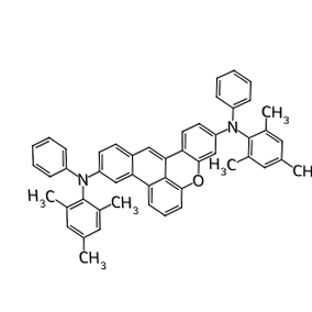 Cc1cc(C)c(N(c2ccccc2)c2ccc3c(c2)Oc2cccc4c2c-3cc2ccc(N(c3ccccc3)c3c(C)cc(C)cc3C)cc24)c(C)c1